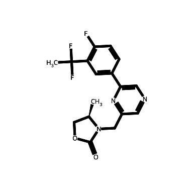 C[C@@H]1COC(=O)N1Cc1cncc(-c2ccc(F)c(C(C)(F)F)c2)n1